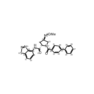 CON=C1C[C@@H](C(=O)Nc2cccc3snnc23)N(C(=O)c2ccc(-c3ccccc3)cc2)C1